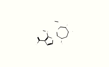 CNc1c(C(=N)N)ccn1[C@@H]1O[C@H](CO)[C@@H](O)[C@H](O)C[C@H]1O